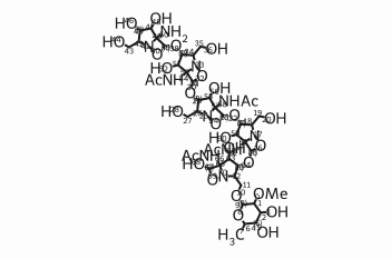 COC1C(O)[C@H](O)C(C)O[C@H]1OCC1[C@@H](O[C@@H]2ON3C(CO)[C@@H](O[C@@H]4ON5C(CO)[C@@H](O[C@@H]6ON7C(CO)[C@@H](O[C@@H]8ON9C(CO)[C@@H](O)C(O)C89N)C(O)C67NC(C)=O)C(O)C45NC(C)=O)C(O)C23NC(C)=O)C(O)C2(NC(C)=O)[C@H](O)ON12